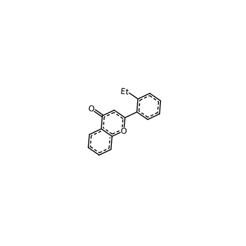 CCc1ccccc1-c1cc(=O)c2ccccc2o1